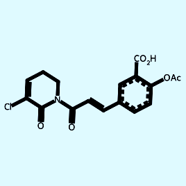 CC(=O)Oc1ccc(C=CC(=O)N2CCC=C(Cl)C2=O)cc1C(=O)O